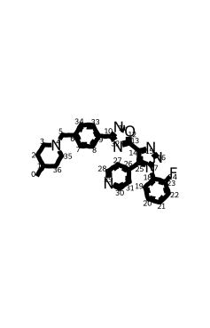 CC1CCN(Cc2ccc(-c3noc(-c4nnn(-c5ccccc5F)c4-c4ccncc4)n3)cc2)CC1